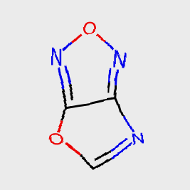 c1nc2nonc2o1